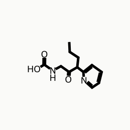 CCCC(C(=O)CNC(=O)O)c1ccccn1